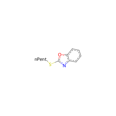 CCCCCSc1nc2ccccc2o1